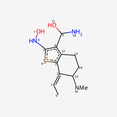 C/C=C1/c2sc(NO)c(C(N)O)c2CCC1NC